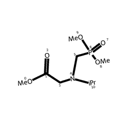 COC(=O)CN(CP(=O)(OC)OC)C(C)C